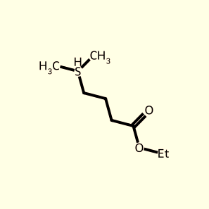 CCOC(=O)CCC[SH](C)C